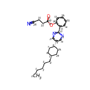 CCCCC[C@H]1CC[C@H](c2cnc(-c3ccccc3OC(=O)CCC#N)nc2)CC1